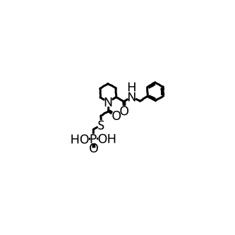 O=C(NCc1ccccc1)C1CCCCN1C(=O)CSCP(=O)(O)O